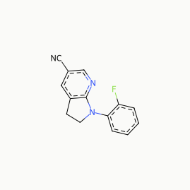 N#Cc1cnc2c(c1)CCN2c1ccccc1F